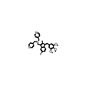 COc1cc(/C=C2/C(C)=C(CN(Cc3ccncc3)Cc3ccncc3)c3cc(F)ccc32)cc(OC)c1OC